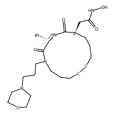 CC(C)[C@@H]1NC(=O)[C@@H](CC(=O)NO)CCCCCCCCN(CCCN2CCOCC2)C1=O